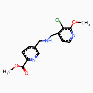 COC(=O)c1ccc(CNCc2ccnc(OC)c2Cl)cn1